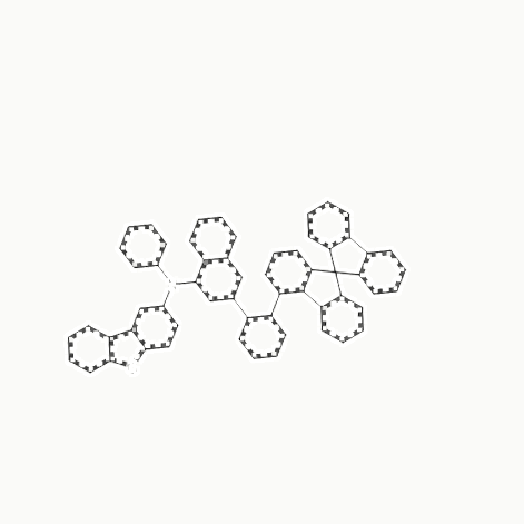 c1ccc(N(c2ccc3oc4ccccc4c3c2)c2cc(-c3ccccc3-c3cccc4c3-c3ccccc3C43c4ccccc4-c4ccccc43)cc3ccccc23)cc1